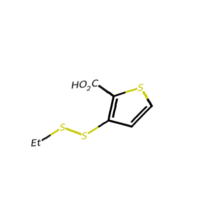 CCSSc1ccsc1C(=O)O